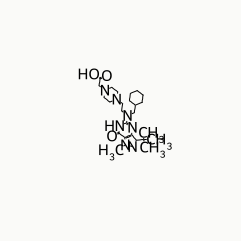 Cn1nc(C(C)(C)C)c2nc(N(CCN3CCN(CC(=O)O)CC3)CC3CCCCC3)[nH]c(=O)c21